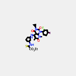 CCOC(=O)C(=S)Nc1cccc(Nc2c(C)c(=O)n(C)c3c2c(=O)n(C2CC2)c(=O)n3-c2ccc(I)cc2F)c1